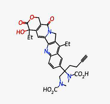 C#CCCC(CN(C)C(=O)O)(c1ccc2nc3c(c(CC)c2c1)Cn1c-3cc2c(c1=O)COC(=O)C2(O)CC)N(C)C(=O)O